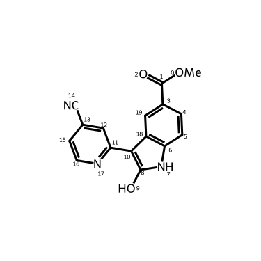 COC(=O)c1ccc2[nH]c(O)c(-c3cc(C#N)ccn3)c2c1